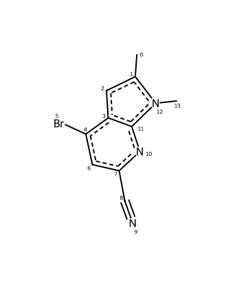 Cc1cc2c(Br)cc(C#N)nc2n1C